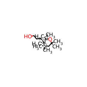 CC1(C)C[Si](C)(C)[Si](C)(CCCO)[Si](C)(C)O1